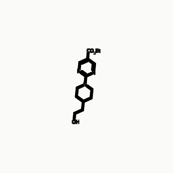 CCOC(=O)c1cnc(N2CCC(CCO)CC2)nc1